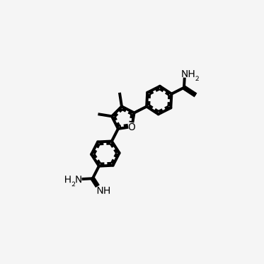 C=C(N)c1ccc(-c2oc(-c3ccc(C(=N)N)cc3)c(C)c2C)cc1